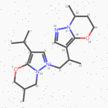 CC1COc2c(C(C)C)c[n+](CC(C)c3cnn4c3OCCC4C)n2C1